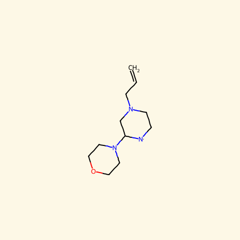 C=CCN1CC[N]C(N2CCOCC2)C1